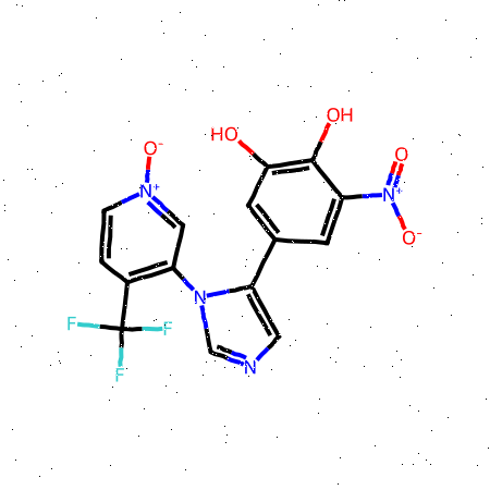 O=[N+]([O-])c1cc(-c2cncn2-c2c[n+]([O-])ccc2C(F)(F)F)cc(O)c1O